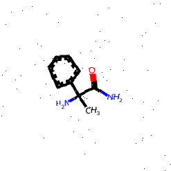 CC(N)(C(N)=O)c1ccccc1